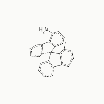 Cc1cccc2c1C1(c3ccccc3-2)c2ccccc2-c2c(N)cccc21